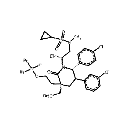 CC[C@H](CN(C)S(=O)(=O)C1CC1)N1C(=O)[C@@](CC=O)(CCO[Si](C(C)C)(C(C)C)C(C)C)CC(c2cccc(Cl)c2)[C@H]1c1ccc(Cl)cc1